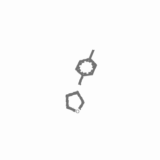 C1CCOC1.Cc1ccc(C)cc1